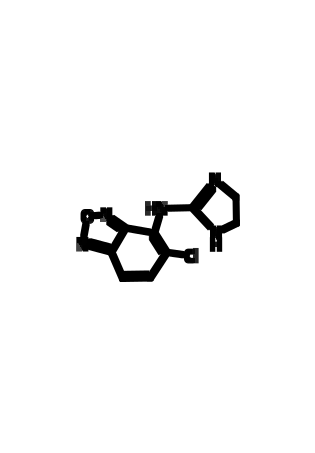 Clc1ccc2nonc2c1NC1=NCCN1